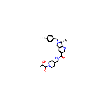 CC(O)C(=O)N1CCC(CNC(=O)c2cnc3c(c2)CN(Cc2ccc(C(F)(F)F)cc2)[C@H]3C(C)C)CC1